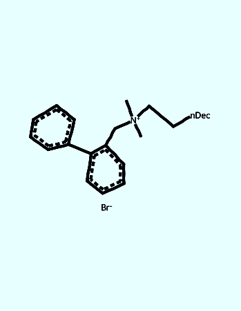 CCCCCCCCCCCC[N+](C)(C)Cc1ccccc1-c1ccccc1.[Br-]